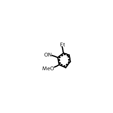 CCc1cccc(OC)c1N=O